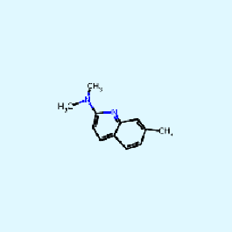 Cc1ccc2ccc(N(C)C)nc2c1